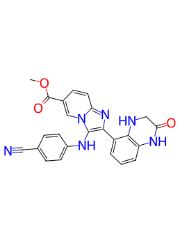 COC(=O)c1ccc2nc(-c3cccc4c3NCC(=O)N4)c(Nc3ccc(C#N)cc3)n2c1